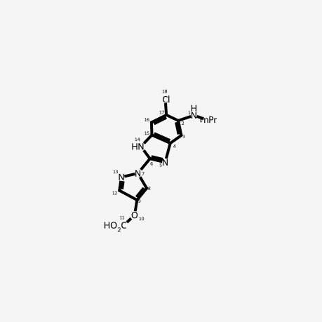 CCCNc1cc2nc(-n3cc(OC(=O)O)cn3)[nH]c2cc1Cl